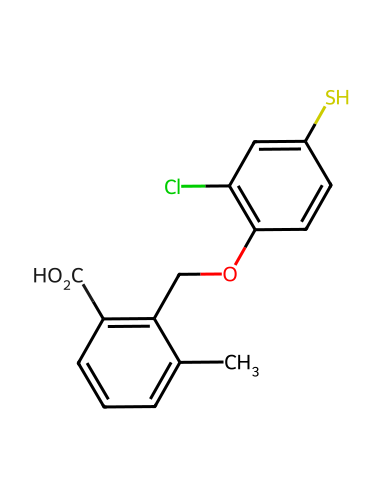 Cc1cccc(C(=O)O)c1COc1ccc(S)cc1Cl